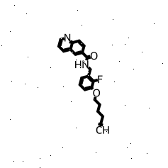 C#CCCCCOc1cccc(CNC(=O)c2ccc3ncccc3c2)c1F